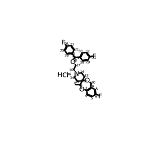 CC1Oc2ccc(F)cc2COC12CCN(CCOC(c1ccc(F)cc1)c1ccc(F)cc1)CC2.Cl